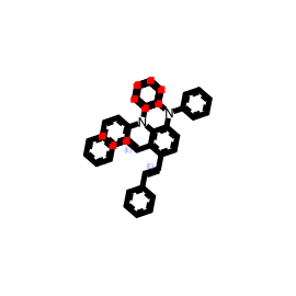 C(=C\c1ccc(N(c2ccccc2)c2ccccc2)c(N(c2ccccc2)c2ccccc2)c1/C=C/c1ccccc1)/c1ccccc1